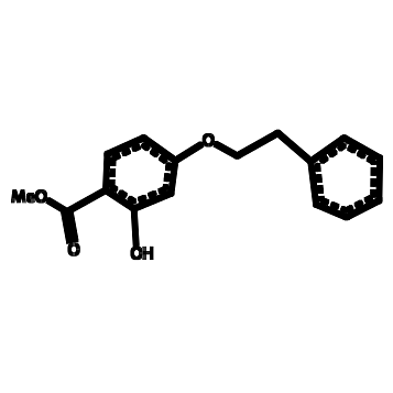 COC(=O)c1ccc(OCCc2ccccc2)cc1O